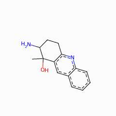 CC1(O)c2cc3ccccc3nc2CCC1N